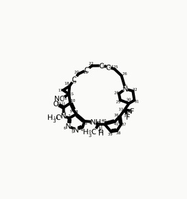 C[C@H]1Nc2cnnc3c2cc(c(=O)n3C)C2(C#N)CC2CCCCCCCCN2CCC(CC2)C(F)(F)c2cccc1c2